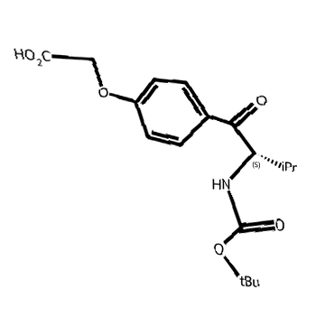 CC(C)[C@H](NC(=O)OC(C)(C)C)C(=O)c1ccc(OCC(=O)O)cc1